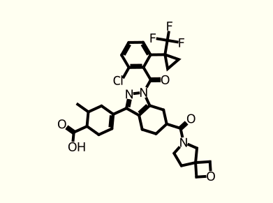 CC1CC(c2nn(C(=O)c3c(Cl)cccc3C3(C(F)(F)F)CC3)c3c2CCC(C(=O)N2CCC4(COC4)C2)C3)=CCC1C(=O)O